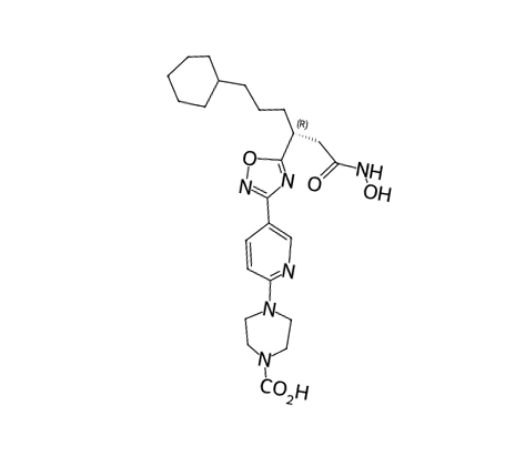 O=C(C[C@@H](CCCC1CCCCC1)c1nc(-c2ccc(N3CCN(C(=O)O)CC3)nc2)no1)NO